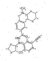 CN(Cc1ccc(C(=O)NN(c2nc(C#N)ncc2Cl)C2CCCC2)cc1)C1CCCCC1